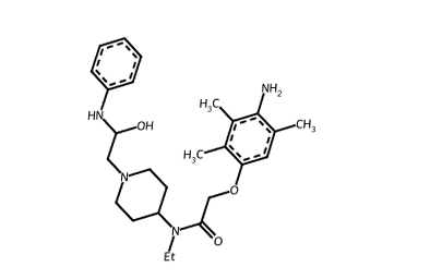 CCN(C(=O)COc1cc(C)c(N)c(C)c1C)C1CCN(CC(O)Nc2ccccc2)CC1